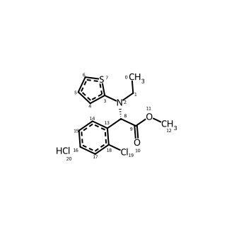 CCN(c1cccs1)[C@H](C(=O)OC)c1ccccc1Cl.Cl